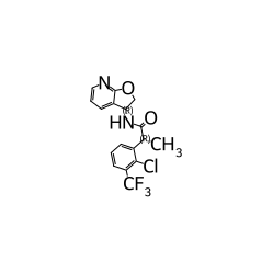 C[C@@H](C(=O)N[C@H]1COc2ncccc21)c1cccc(C(F)(F)F)c1Cl